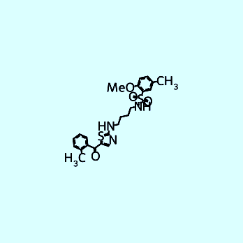 COc1ccc(C)cc1S(=O)(=O)NCCCCNc1ncc(C(=O)c2ccccc2C)s1